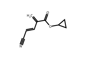 C=C(C=CC#N)C(=O)OC1CC1